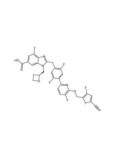 N#Cc1cc(F)c(COc2nc(-c3cc(F)c(Cc4nc5c(F)cc(C(=O)O)cc5n4C[C@@H]4CCO4)cc3F)ccc2F)s1